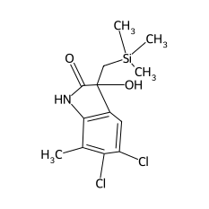 Cc1c(Cl)c(Cl)cc2c1NC(=O)C2(O)C[Si](C)(C)C